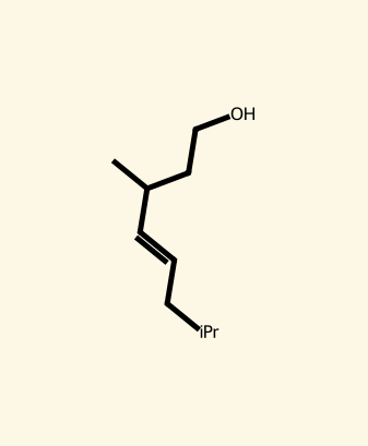 CC(C)CC=CC(C)CCO